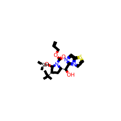 C=CCOC(=O)N1C(O[SiH](C)C)[C@@H](C(C)(C)C)C[C@H]1C(O)c1ncc2sccn12